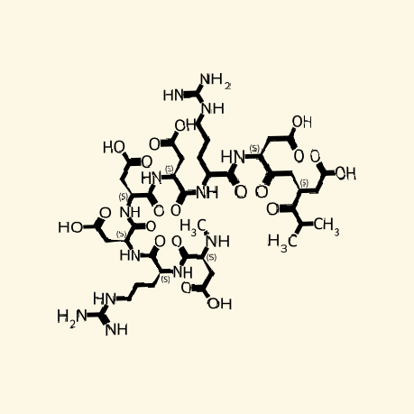 CN[C@@H](CC(=O)O)C(=O)N[C@@H](CCCNC(=N)N)C(=O)N[C@@H](CC(=O)O)C(=O)N[C@@H](CC(=O)O)C(=O)N[C@@H](CC(=O)O)C(=O)NC(CCCNC(=N)N)C(=O)N[C@@H](CC(=O)O)C(=O)C[C@@H](CC(=O)O)C(=O)C(C)C